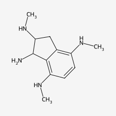 CNc1ccc(NC)c2c1CC(NC)C2N